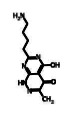 Cc1n[nH]c2nc(CCCCN)nc(O)c2c1=O